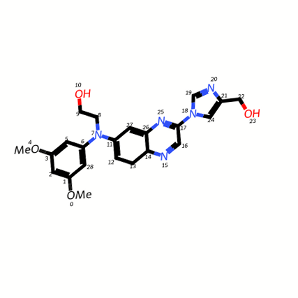 COc1cc(OC)cc(N(CCO)C2=CCC3N=CC(n4cnc(CO)c4)=NC3=C2)c1